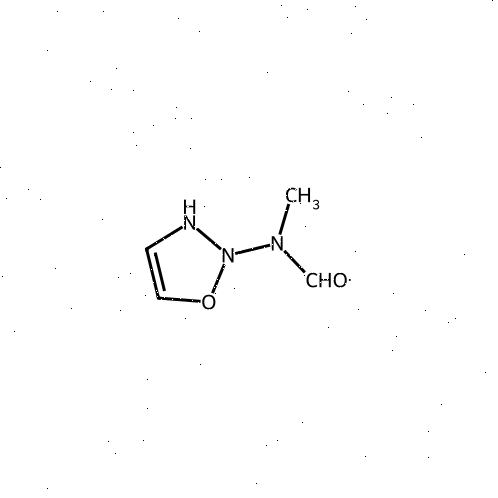 CN([C]=O)N1NC=CO1